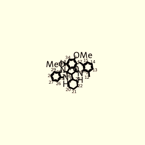 COc1ccc(C2(C(C(=O)Nc3c(C)cccc3C)C3CCCCC3)Nc3ccccc3N2)c(OC)c1